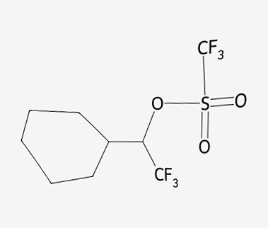 O=S(=O)(OC(C1CCCCC1)C(F)(F)F)C(F)(F)F